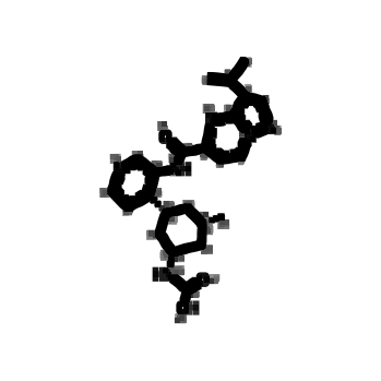 C=C(C)c1cnn2ccc(C(=O)Nc3cnccc3[C@@H]3C[C@H](C)C[C@H](NC(=O)O)C3)nc12